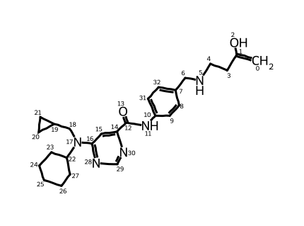 C=C(O)CCNCc1ccc(NC(=O)c2cc(N(CC3CC3)C3CCCCC3)ncn2)cc1